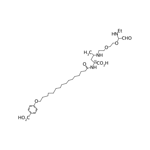 CCNC(C=O)OCCOCCNC(C)C[C@H](NC(=O)CCCCCCCCCCCCCCCOc1ccc(C(=O)O)cc1)C(=O)O